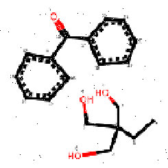 CCC(CO)(CO)CO.O=C(c1ccccc1)c1ccccc1